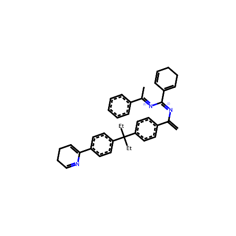 C=C(/N=C(\N=C(/C)c1ccccc1)C1=CCCC=C1)c1ccc(C(CC)(CC)c2ccc(C3=CCCC=N3)cc2)cc1